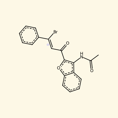 CC(=O)Nc1c(C(=O)/C=C(\Br)c2ccccc2)oc2ccccc12